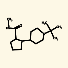 CNC(=O)C1CCCN1C1CCN(C(C)(C)C)CC1